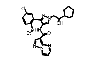 CCOc1ccc(Cl)cc1-c1nn(CC(O)C2CCCCC2)cc1NC(=O)c1cnn2cccnc12